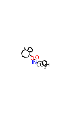 C=C1/C=C\C=C/CC(COC(=O)N[C@@H](Cc2ccccc2)C(=O)O)c2ccccc21